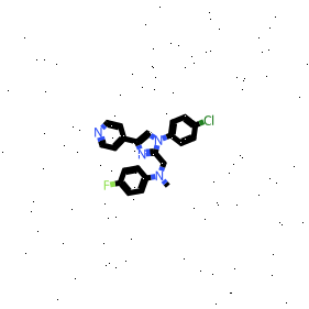 CN(Cc1nc(-c2ccncc2)cn1-c1ccc(Cl)cc1)c1ccc(F)cc1